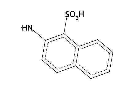 [NH]c1ccc2ccccc2c1S(=O)(=O)O